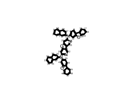 c1ccc2cc(N(c3ccc4c(c3)oc3ccccc34)c3cc4oc5cc(N(c6ccc7ccccc7c6)c6ccc7c(c6)oc6ccccc67)ncc5c4cn3)ccc2c1